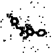 Cc1cc(N2CCOCC2)cc(C(C)C)c1C(=O)NCc1ccc(C(F)(F)F)cn1